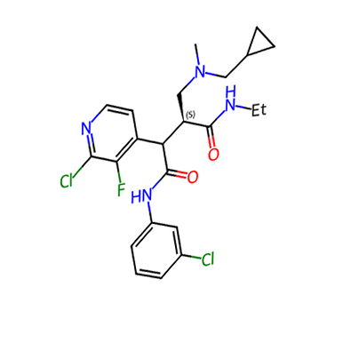 CCNC(=O)[C@H](CN(C)CC1CC1)C(C(=O)Nc1cccc(Cl)c1)c1ccnc(Cl)c1F